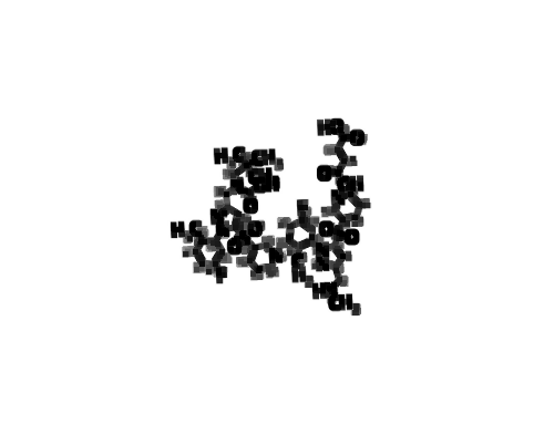 CNCc1cc(S(=O)(=O)c2cccnc2)n(-c2cc(F)ccc2C)n1.Cc1ccc(F)cc1-n1nc(CN(CC(C)(C)C)C(=O)O)cc1S(=O)(=O)c1cccnc1.O=C(O)C=CC(=O)O